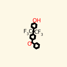 O=C(c1ccccc1)c1ccc(C(c2ccc(O)cc2)(C(F)(F)F)C(F)(F)F)cc1